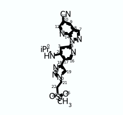 CC(C)Nc1cc(-n2ncc3cc(C#N)cnc32)ncc1-c1cn(CCS(C)(=O)=O)nn1